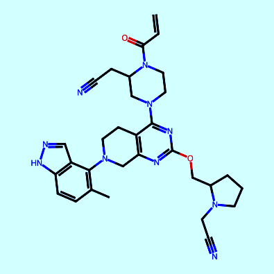 C=CC(=O)N1CCN(c2nc(OCC3CCCN3CC#N)nc3c2CCN(c2c(C)ccc4[nH]ncc24)C3)CC1CC#N